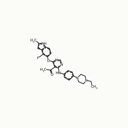 CCN1CCN(c2ccc(Nc3ncnc(Oc4ccc5[nH]c(C)cc5c4F)c3C(C)=O)cc2)CC1